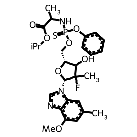 COc1cc(C)cc2c1ncn2[C@@H]1O[C@H](COP(=S)(NC(C)C(=O)OC(C)C)Oc2ccccc2)C(O)C1(C)F